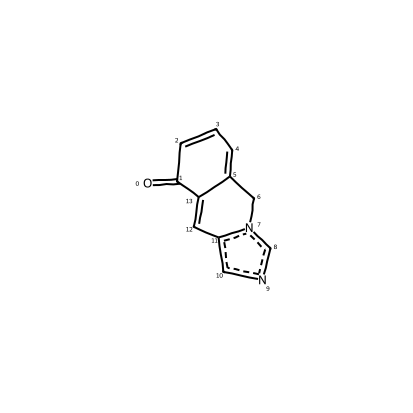 O=C1C=CC=C2Cn3cncc3C=C12